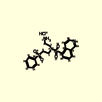 Cl.NCCN(CCS(=O)(=O)c1ccccc1)S(=O)(=O)c1cccc2cnccc12